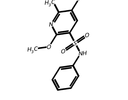 COc1nc(C)c(Br)cc1S(=O)(=O)Nc1ccccc1